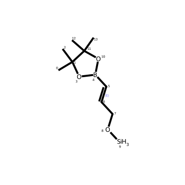 CC1(C)OB(/C=C/CO[SiH3])OC1(C)C